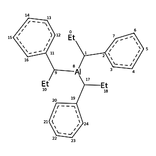 CC[CH](c1ccccc1)[Al]([CH](CC)c1ccccc1)[CH](CC)c1ccccc1